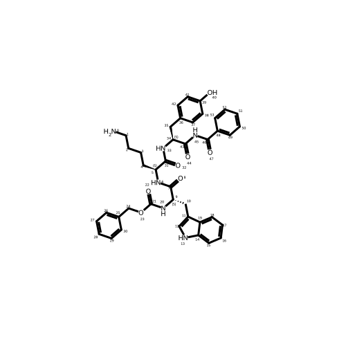 NCCCC[C@H](NC(=O)[C@H](Cc1c[nH]c2ccccc12)NC(=O)OCc1ccccc1)C(=O)N[C@@H](Cc1ccc(O)cc1)C(=O)NC(=O)c1ccccc1